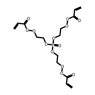 C=CC(=O)OOCCOP(=O)(OCCOOC(=O)C=C)OCCOOC(=O)C=C